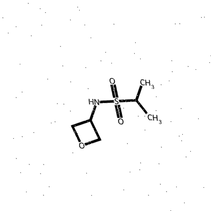 CC(C)S(=O)(=O)NC1COC1